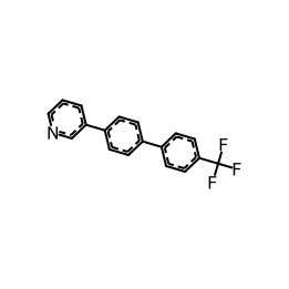 FC(F)(F)c1ccc(-c2ccc(-c3cccnc3)cc2)cc1